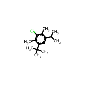 Cc1c(C(C)C)cc(C(C)(C)C)c(C)c1Cl